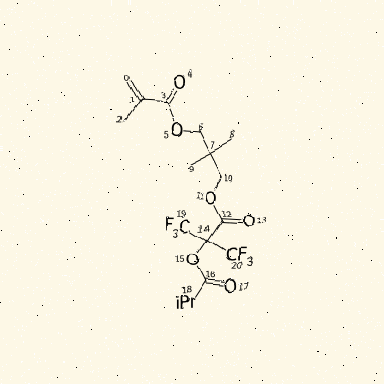 C=C(C)C(=O)OCC(C)(C)COC(=O)C(OC(=O)C(C)C)(C(F)(F)F)C(F)(F)F